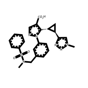 CN(Cc1cccc(-n2ncc(C(=O)O)c2[C@@H]2C[C@H]2c2cn(C)nn2)c1)S(=O)(=O)c1ccccc1